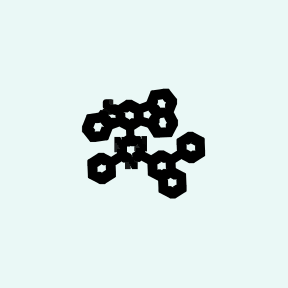 c1ccc(-c2nc(-c3cc(-c4ccccc4)c4ccccc4c3)nc(-c3c4c(cc5sc6ccccc6c35)-c3cccc5cccc-4c35)n2)cc1